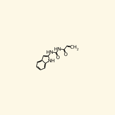 C=CC(=O)NC(=O)Nc1cc2ccccc2[nH]1